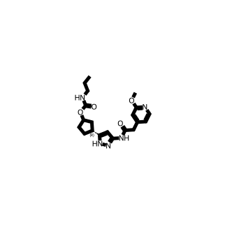 CCCNC(=O)OC1CC[C@@H](c2cc(NC(=O)Cc3ccnc(OC)c3)n[nH]2)C1